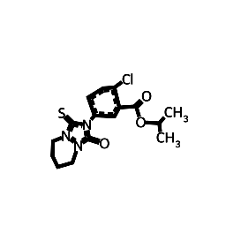 CC(C)OC(=O)c1cc(-n2c(=O)n3n(c2=S)CCCC3)ccc1Cl